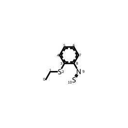 CCSc1ccccc1N=S